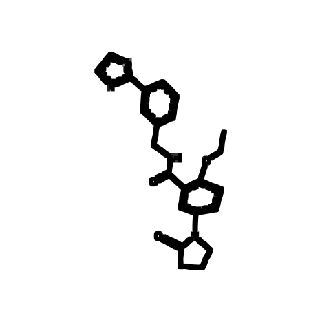 CCOc1ccc(N2CCCC2=O)cc1C(=O)NCc1cccc(-c2nccs2)c1